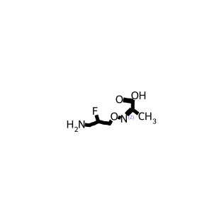 C/C(=N/OCC(F)CN)C(=O)O